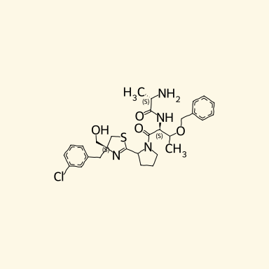 CC(OCc1ccccc1)[C@H](NC(=O)[C@H](C)N)C(=O)N1CCCC1C1=N[C@](CO)(Cc2cccc(Cl)c2)CS1